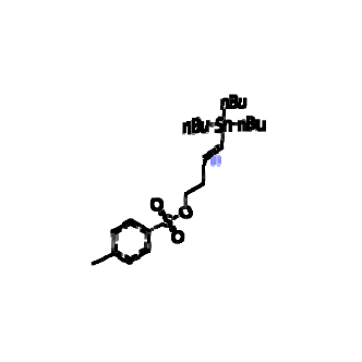 CCC[CH2][Sn](/[CH]=C/CCOS(=O)(=O)c1ccc(C)cc1)([CH2]CCC)[CH2]CCC